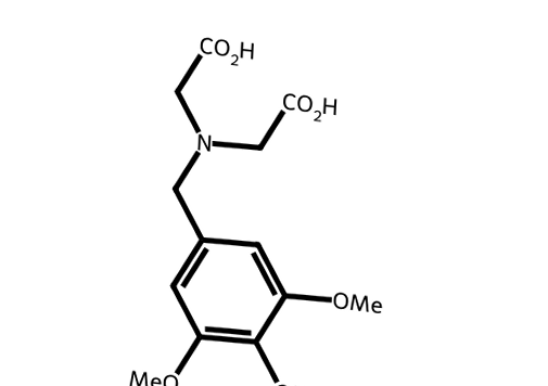 COc1cc(CN(CC(=O)O)CC(=O)O)cc(OC)c1OC